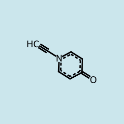 C#Cn1ccc(=O)cc1